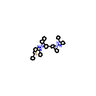 c1ccc(-c2cc3ccc4nc(-n5c6ccc(-c7ccc8c(c7)c7ccccc7n8-c7nc(-c8ccccc8)c8ccccc8n7)cc6c6c7ccccc7ccc65)nc(-c5ccccc5)c4c3s2)cc1